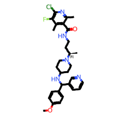 COc1ccc(C(NC2CCN([C@H](C)CCNC(=O)c3c(C)nc(Cl)c(F)c3C)CC2)c2cccnc2)cc1